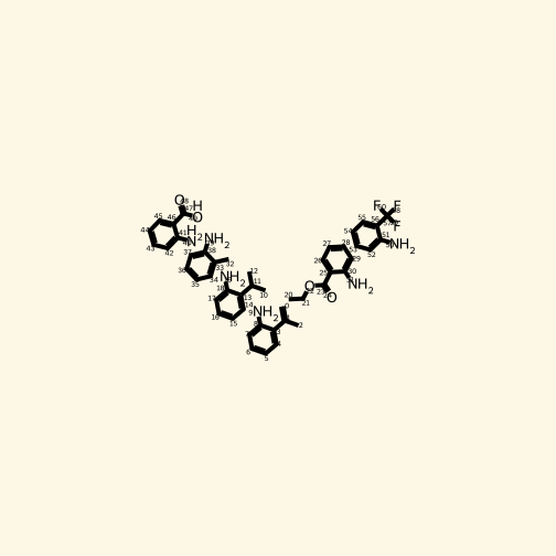 C=C(C)c1ccccc1N.CC(C)c1ccccc1N.CCOC(=O)c1ccccc1N.Cc1ccccc1N.Nc1ccccc1C(=O)O.Nc1ccccc1C(F)(F)F